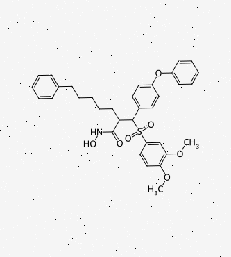 COc1ccc(S(=O)(=O)C(c2ccc(Oc3ccccc3)cc2)C(CCCCCc2ccccc2)C(=O)NO)cc1OC